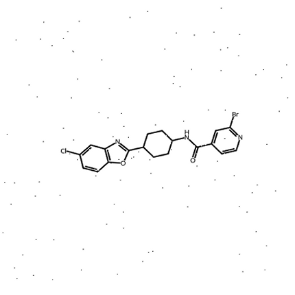 O=C(NC1CCC(c2nc3cc(Cl)ccc3o2)CC1)c1ccnc(Br)c1